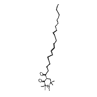 CCCCCCCCCCCCCCCCCC(=O)C1CC(C)(C)N(C)C(C)(C)C1=O